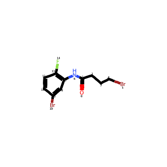 O=C(CCCBr)Nc1cc(Br)ccc1F